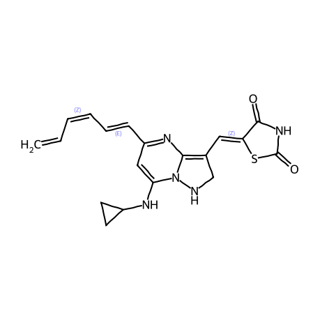 C=C/C=C\C=C\C1=NC2=C(/C=C3\SC(=O)NC3=O)CNN2C(NC2CC2)=C1